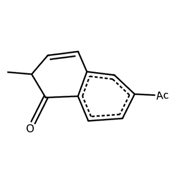 CC(=O)c1ccc2c(c1)C=CC(C)C2=O